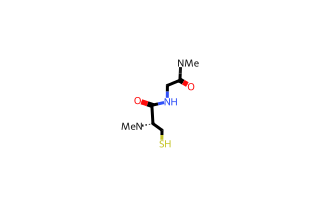 CNC(=O)CNC(=O)[C@H](CS)NC